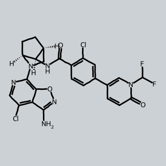 Nc1noc2c(N3C[C@@H]4CC[C@H]3[C@@H]4NC(=O)c3ccc(-c4ccc(=O)n(C(F)F)c4)cc3Cl)ncc(Cl)c12